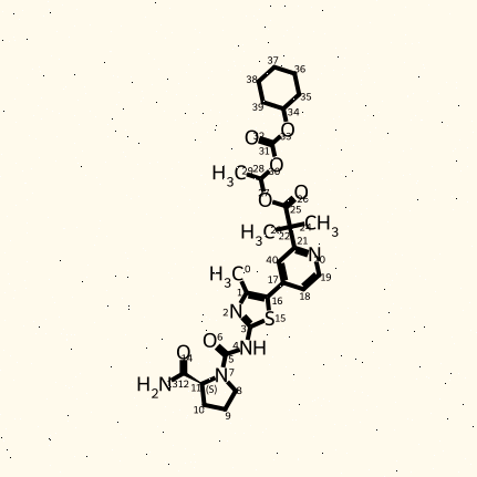 Cc1nc(NC(=O)N2CCC[C@H]2C(N)=O)sc1-c1ccnc(C(C)(C)C(=O)OC(C)OC(=O)OC2CCCCC2)c1